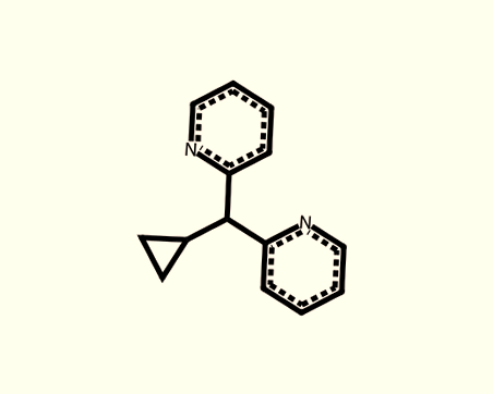 c1ccc(C(c2ccccn2)C2CC2)nc1